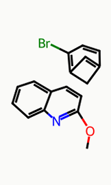 Brc1ccc2cc1C2.COc1ccc2ccccc2n1